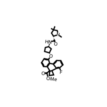 COC(=O)Cc1cccc(O[C@@H]2CC[C@@H](NC(=O)[C@@H]3CC(C)(C)CN3C)C2)c1-c1cccc(F)c1C1CCC1